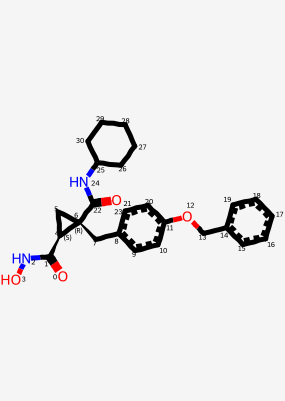 O=C(NO)[C@H]1C[C@]1(Cc1ccc(OCc2ccccc2)cc1)C(=O)NC1CCCCC1